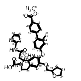 COC(=O)c1ccc(-c2ccc(Oc3cc4c(cc3OCC3CCCO3)CCN(C(=O)O)[C@]4(C)CC(=O)Nc3nccs3)cc2F)cc1